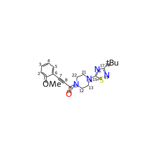 COc1ccccc1C#CC(=O)N1CCN(c2nc(C(C)(C)C)ns2)CC1